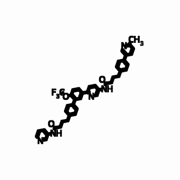 Cc1ccc(-c2ccc(CCCC(=O)Nc3ccc(-c4ccc(OC(F)(F)F)c(-c5ccc(CCCC(=O)Nc6cccnc6)cc5)c4)nc3)cc2)cn1